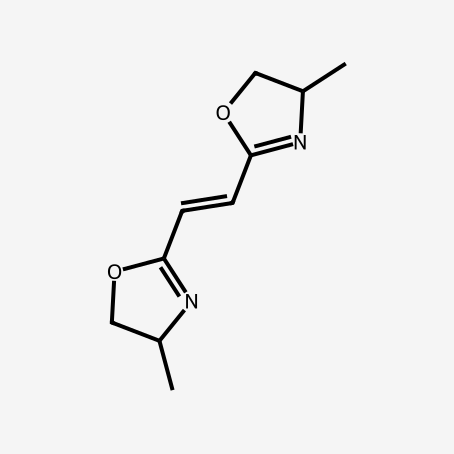 CC1COC(C=CC2=NC(C)CO2)=N1